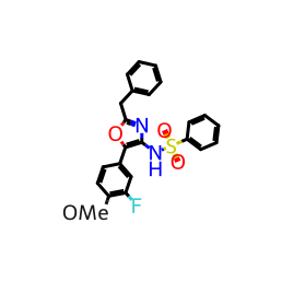 COc1ccc(-c2oc(Cc3ccccc3)nc2NS(=O)(=O)c2ccccc2)cc1F